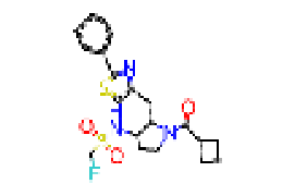 O=C(C1CCC1)N1CCC(NS(=O)(=O)CF)C1Cc1csc(-c2ccccc2)n1